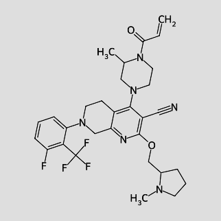 C=CC(=O)N1CCN(c2c(C#N)c(OCC3CCCN3C)nc3c2CCN(c2cccc(F)c2C(F)(F)F)C3)CC1C